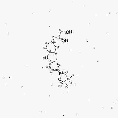 CC1(C)OB(c2ccc(OC3CCN(CC(O)CO)CC3)cc2)OC1(C)C